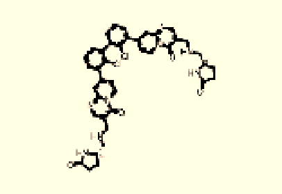 O=C1CC[C@H](CNCc2cnc3cc(-c4cccc(-c5cccc(-c6ccn7c(=O)c(CNC[C@@H]8CCC(=O)N8)cnc7c6)c5Cl)c4Cl)ccn3c2=O)N1